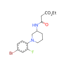 CCOC(=O)CC(=O)NC1CCCN(c2ccc(Br)cc2F)C1